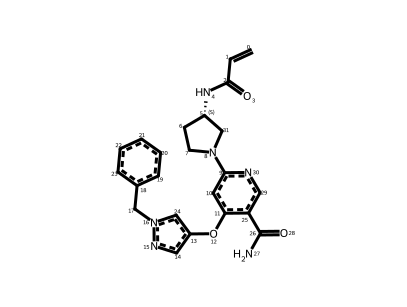 C=CC(=O)N[C@H]1CCN(c2cc(Oc3cnn(Cc4ccccc4)c3)c(C(N)=O)cn2)C1